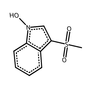 CS(=O)(=O)c1cn(O)c2ccccc12